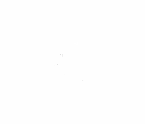 Cc1c(C(F)(F)F)cnnc1Cl